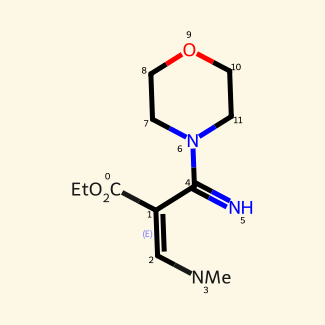 CCOC(=O)/C(=C/NC)C(=N)N1CCOCC1